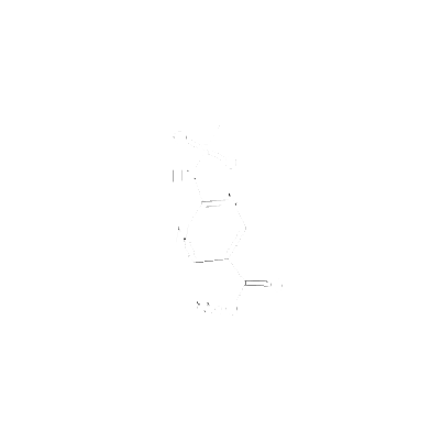 COC(=O)c1cnc(NS(C)(=O)=O)nc1